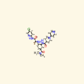 CN(C)C(=O)[C@H]1CC[C@H](NC(=S)C(=O)Nc2ccc(Cl)cn2)[C@H](NC(=O)C2CCN(c3ccncc3)CC2)C1